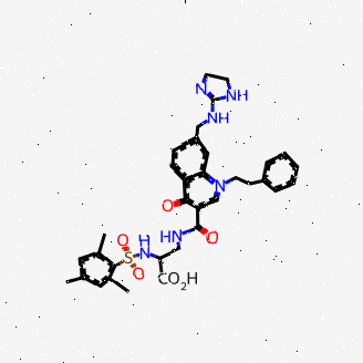 Cc1cc(C)c(S(=O)(=O)NC(CNC(=O)c2cn(CCc3ccccc3)c3cc(CNC4=NCCN4)ccc3c2=O)C(=O)O)c(C)c1